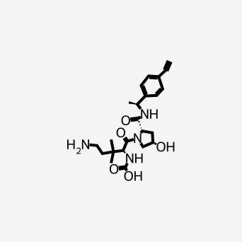 C#Cc1ccc([C@H](C)NC(=O)[C@@H]2C[C@@H](O)CN2C(=O)[C@H](NC(=O)O)C(C)(C)CCN)cc1